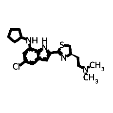 CN(C)CC[C@@H]1CSC(c2cc3cc(Cl)cc(NC4CCCC4)c3[nH]2)=N1